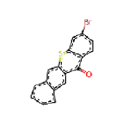 O=c1c2ccc(Br)cc2sc2cc3ccccc3cc12